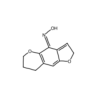 ON=C1C2=CCOC2=CC2=C1OCCC2